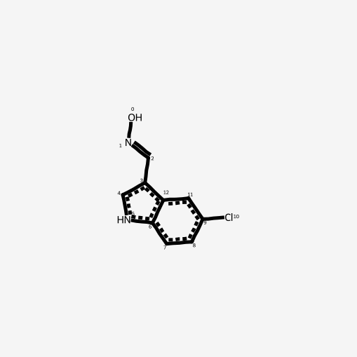 ON=Cc1c[nH]c2ccc(Cl)cc12